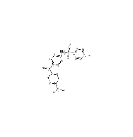 CC(=O)N1CCC(C(=O)c2ccc(NS(=O)(=O)c3ccc(C)cc3)cc2)CC1